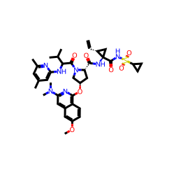 C=C[C@@H]1C[C@]1(NC(=O)[C@@H]1C[C@@H](Oc2nc(N(C)C)cc3cc(OC)ccc23)CN1C(=O)C(Nc1cc(C)cc(C)n1)C(C)C)C(=O)NS(=O)(=O)C1CC1